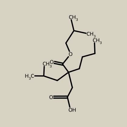 CCCCC(CC(=O)O)(CC(C)C)C(=O)OCC(C)C